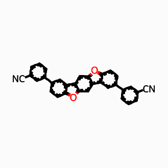 N#Cc1cccc(-c2ccc3oc4cc5c(cc4c3c2)oc2ccc(-c3cccc(C#N)c3)cc25)c1